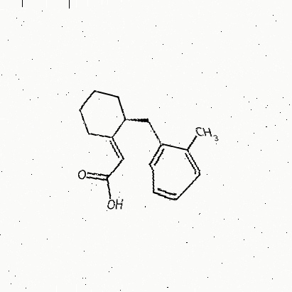 Cc1ccccc1C[C@@H]1CCCCC1=CC(=O)O